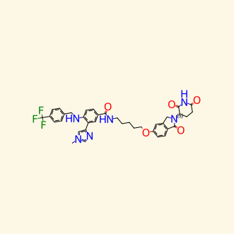 Cn1cnc(-c2cc(C(=O)NCCCCCOc3ccc4c(c3)CN([C@H]3CCC(=O)NC3=O)C4=O)ccc2NCc2ccc(C(F)(F)F)cc2)c1